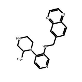 CC1CNCCN1c1ccncc1NCc1ccc2nccnc2c1